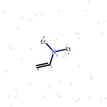 C=[C]N(CC)CC